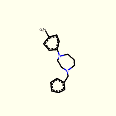 O=[N+]([O-])c1ccc(N2CCCN(Cc3ccccc3)CC2)cc1